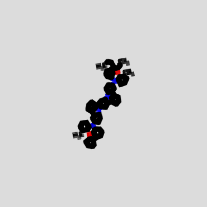 C=Cc1oc2c(N(c3cccc(C)c3)c3ccc4c(c3)c3cccc5c6cc7c(cc6n4c35)c3cccc4c5cc(N(c6cccc(C)c6)c6cccc8c6oc6ccccc68)ccc5n7c43)cccc2c1/C=C\C